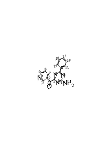 Nc1nc(C(=O)c2cccnc2)nc(-c2ccccc2)n1